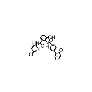 O=C(Nc1c(O)cccc1C(=O)Nc1ccc(Cl)cn1)c1ccc(-c2coccc2=O)cc1